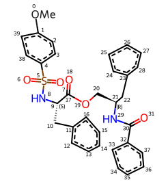 COc1ccc(S(=O)(=O)N[C@@H](Cc2ccccc2)C(=O)OC[C@@H](Cc2ccccc2)NC(=O)c2ccccc2)cc1